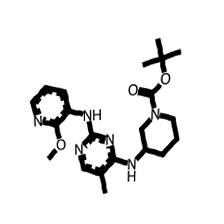 COc1ncccc1Nc1ncc(C)c(NC2CCCN(C(=O)OC(C)(C)C)C2)n1